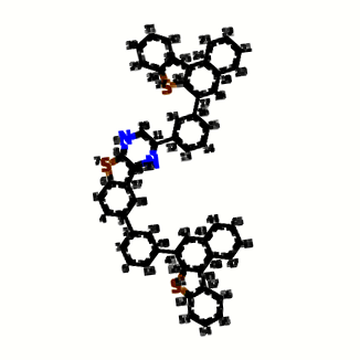 c1cc(-c2ccc3sc4ncc(-c5cccc(-c6cc7ccccc7c7c6sc6ccccc67)c5)nc4c3c2)cc(-c2cc3ccccc3c3c2sc2ccccc23)c1